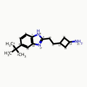 CC(C)(C)c1ccc2[nH]c(CCC3CC(N)C3)nc2c1